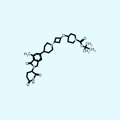 Cc1cc(C2CCN([C@H]3C[C@H](OC4CCN(C(=O)OC(C)(C)C)CC4)C3)CC2)cc2c1C(=O)N(C1CCC(=O)NC1=O)C2